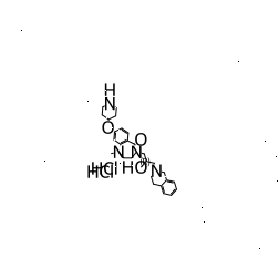 CN1CCN(C[C@H](O)CN2CCc3ccccc3C2)C(=O)c2ccc(OC3CCNCC3)cc21.Cl.Cl